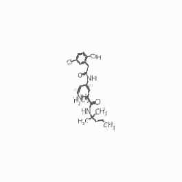 C=C(/C=C(\C=C/N)NC(=O)Cc1cc(Cl)ccc1O)C(=O)NC(C)(C)CCC